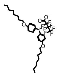 CCCCCCCCOc1ccc([I+]c2ccc(OCCCCCCCC)cc2)cc1.O=C([O-])C(F)(F)C(F)(F)C(F)(F)F